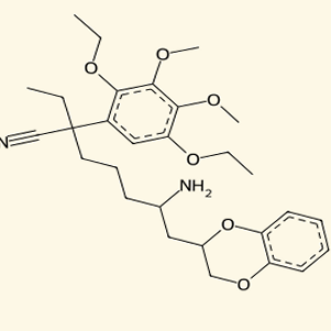 CCOc1cc(C(C#N)(CC)CCCC(N)CC2COc3ccccc3O2)c(OCC)c(OC)c1OC